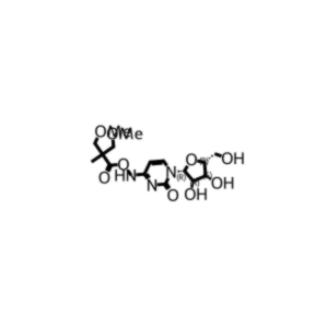 COCC(C)(COC)C(=O)ONc1ccn([C@@H]2O[C@H](CO)[C@@H](O)[C@H]2O)c(=O)n1